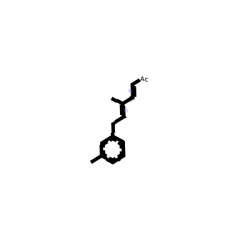 CC(=O)/C=C/C(C)=C/Cc1cccc(C)c1